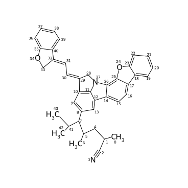 CC(C#N)CC(C)C(c1cc2c3c(c1)c1ccc4c5ccccc5oc4c1n3C/C2=C\C=C1/COc2ccccc21)C(C)C